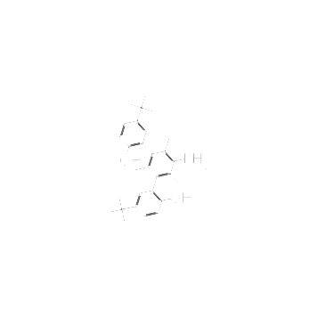 Cc1c(P)c(C)c(-c2cc(C(C)(C)C)ccc2O)c(C)c1-c1cc(C(C)(C)C)ccc1O